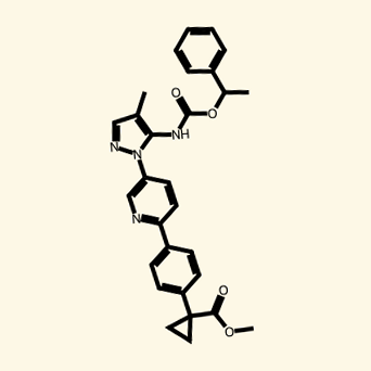 COC(=O)C1(c2ccc(-c3ccc(-n4ncc(C)c4NC(=O)OC(C)c4ccccc4)cn3)cc2)CC1